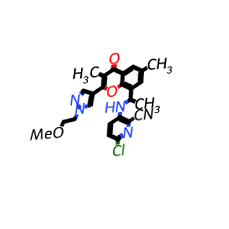 COCCn1cc(-c2oc3c(C(C)Nc4ccc(Cl)nc4C#N)cc(C)cc3c(=O)c2C)cn1